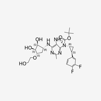 Cc1nc(N[C@@H]2C[C@H](OCCO)[C@@H](O)[C@H]2O)c(N)c(N(C(=O)OC(C)(C)C)[C@@H]2C[C@H]2c2ccc(F)c(F)c2)n1